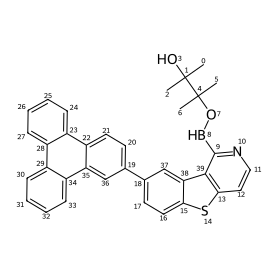 CC(C)(O)C(C)(C)OBc1nccc2sc3ccc(-c4ccc5c6ccccc6c6ccccc6c5c4)cc3c12